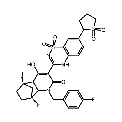 O=C1C(C2=NS(=O)(=O)c3cc(C4CCCS4(=O)=O)ccc3N2)=C(O)C2C([C@@H]3CC[C@H]2C3)N1Cc1ccc(F)cc1